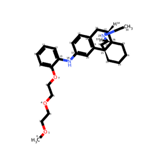 COCCOCCOc1ccccc1Nc1ccc2c(c1)[C@@]13CCCC[C@H]1[C@@H](C2)N(C)CC3